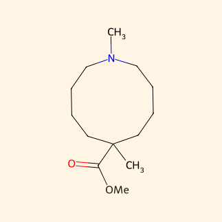 COC(=O)C1(C)CCCCN(C)CCCC1